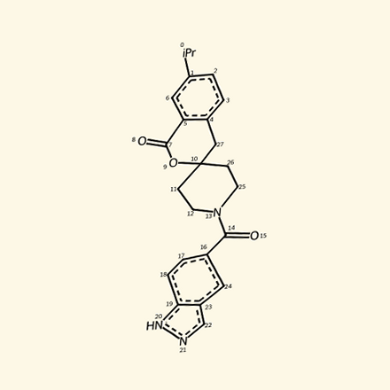 CC(C)c1ccc2c(c1)C(=O)OC1(CCN(C(=O)c3ccc4[nH]ncc4c3)CC1)C2